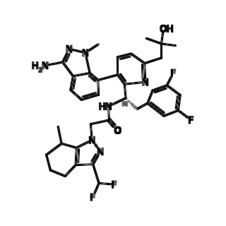 CC1CCCc2c(C(F)F)nn(CC(=O)N[C@@H](Cc3cc(F)cc(F)c3)c3nc(CC(C)(C)O)ccc3-c3cccc4c(N)nn(C)c34)c21